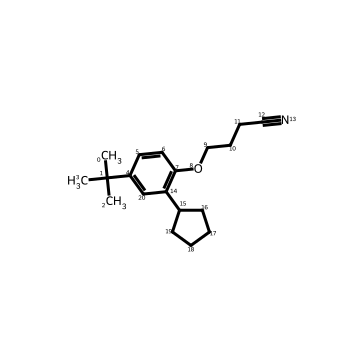 CC(C)(C)c1ccc(OCCCC#N)c(C2CCCC2)c1